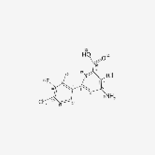 Cc1c(-c2cc(N)c(Cl)c(C(=O)O)n2)ccc(Cl)c1F